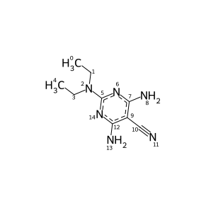 CCN(CC)c1nc(N)c(C#N)c(N)n1